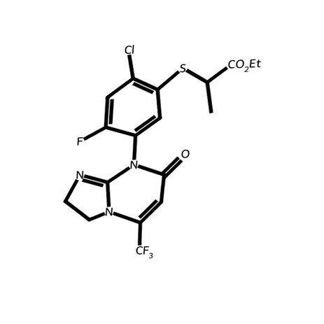 CCOC(=O)C(C)Sc1cc(N2C(=O)C=C(C(F)(F)F)N3CCN=C32)c(F)cc1Cl